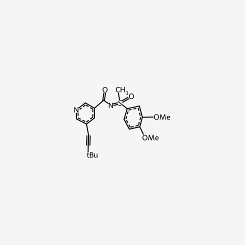 COc1ccc(S(C)(=O)=NC(=O)c2cncc(C#CC(C)(C)C)c2)cc1OC